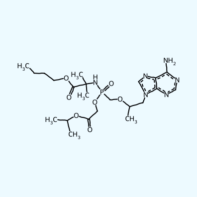 CCCCOC(=O)C(C)(C)NP(=O)(COC(C)Cn1cnc2c(N)ncnc21)OCC(=O)OC(C)C